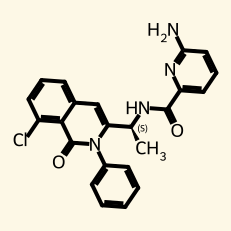 C[C@H](NC(=O)c1cccc(N)n1)c1cc2cccc(Cl)c2c(=O)n1-c1ccccc1